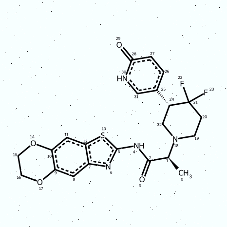 C[C@@H](C(=O)Nc1nc2cc3c(cc2s1)OCCO3)N1CCC(F)(F)[C@@H](c2ccc(=O)[nH]c2)C1